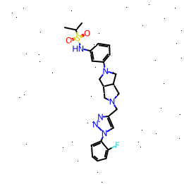 CC(C)S(=O)(=O)Nc1cccc(N2CC3CN(Cc4cn(-c5ccccc5F)nn4)CC3C2)c1